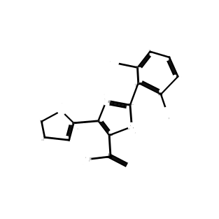 NC(=O)c1[nH]c(-c2c(F)cccc2F)nc1C1=CCCS1